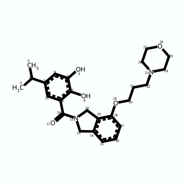 CC(C)c1cc(O)c(O)c(C(=O)N2Cc3cccc(OCCCN4CCOCC4)c3C2)c1